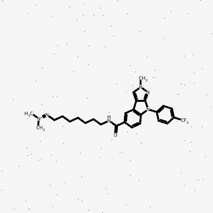 Cn1cc2c3cc(C(=O)NCCCCCCCN=[N+](C)C)ccc3n(-c3ccc(C(F)(F)F)cc3)c2n1